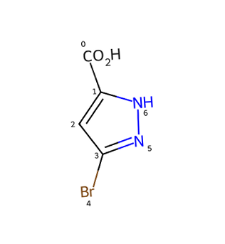 O=C(O)c1cc(Br)n[nH]1